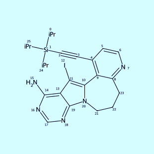 CC(C)[Si](C#Cc1ccnc2c1-c1c(I)c3c(N)ncnc3n1CCC2)(C(C)C)C(C)C